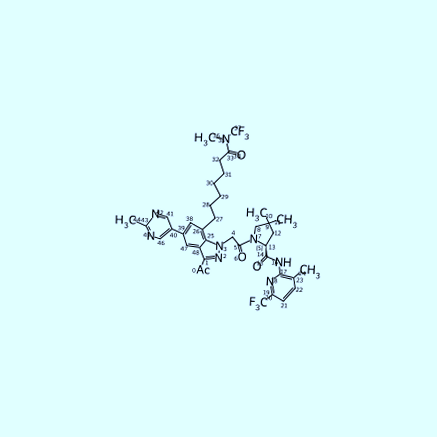 CC(=O)c1nn(CC(=O)N2CC(C)(C)C[C@H]2C(=O)Nc2nc(C(F)(F)F)ccc2C)c2c(CCCCCCC(=O)N(C)C(F)(F)F)cc(-c3cnc(C)nc3)cc12